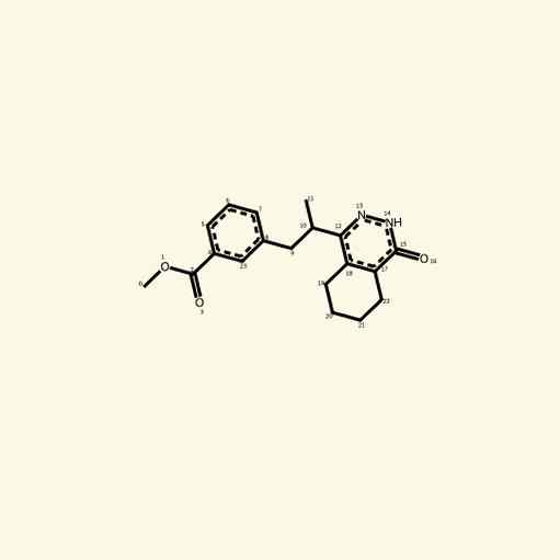 COC(=O)c1cccc(CC(C)c2n[nH]c(=O)c3c2CCCC3)c1